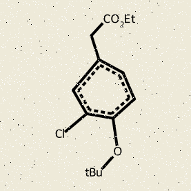 CCOC(=O)Cc1ccc(OC(C)(C)C)c(Cl)c1